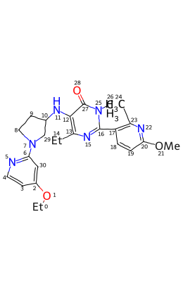 CCOc1ccnc(N2CCC(Nc3c(CC)nc(-c4ccc(OC)nc4C)n(C)c3=O)C2)c1